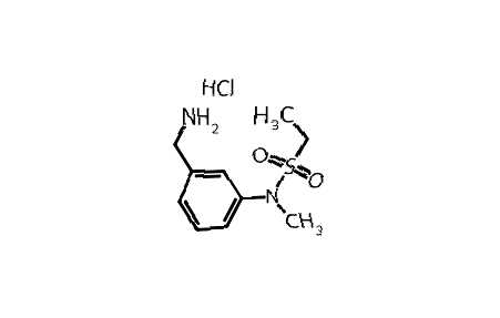 CCS(=O)(=O)N(C)c1cccc(CN)c1.Cl